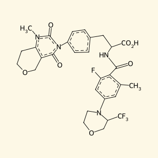 Cc1cc(N2CCOCC2C(F)(F)F)cc(F)c1C(=O)NC(Cc1ccc(-n2c(=O)c3c(n(C)c2=O)CCOC3)cc1)C(=O)O